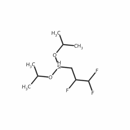 CC(C)O[SiH](CC(F)C(F)F)OC(C)C